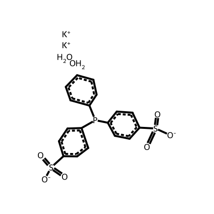 O.O.O=S(=O)([O-])c1ccc(P(c2ccccc2)c2ccc(S(=O)(=O)[O-])cc2)cc1.[K+].[K+]